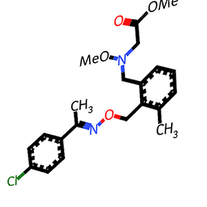 COC(=O)CN(Cc1cccc(C)c1CO/N=C(\C)c1ccc(Cl)cc1)OC